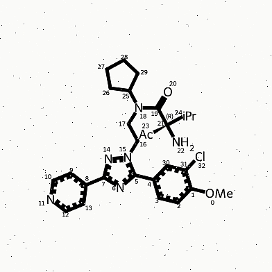 COc1ccc(-c2nc(-c3ccncc3)nn2CCN(C(=O)[C@](N)(C(C)=O)C(C)C)C2CCCC2)cc1Cl